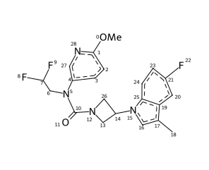 COc1ccc(N(CC(F)F)C(=O)N2CC(n3cc(C)c4cc(F)ccc43)C2)cn1